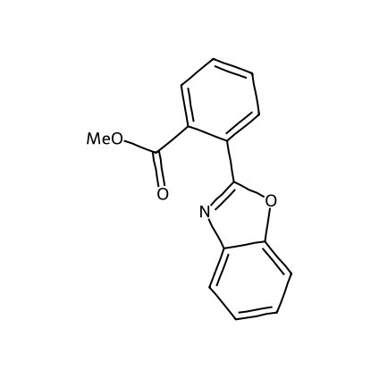 COC(=O)c1ccccc1-c1nc2ccccc2o1